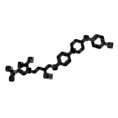 O=[N+]([O-])c1cn(CCC(O)COc2ccc(N3CCC(Oc4ccc(Cl)cc4)CC3)cc2)c(Cl)n1